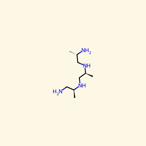 C[C@H](N)CN[C@@H](C)CN[C@@H](C)CN